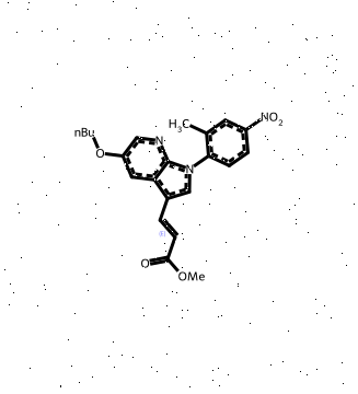 CCCCOc1cnc2c(c1)c(/C=C/C(=O)OC)cn2-c1ccc([N+](=O)[O-])cc1C